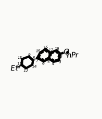 CCCOc1ccc2cc([C@H]3CC[C@H](CC)CC3)ccc2c1